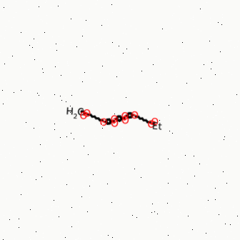 C=CC(=O)OCCCCCCCCOc1ccc(C(=O)Oc2ccc(C(=O)Oc3ccc(OCCCCCCCCOC(=O)CC)cc3)cc2)cc1